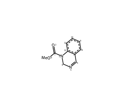 COC(=O)N1CN=Cc2ccccc21